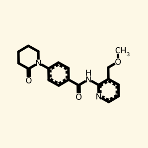 COCc1cccnc1NC(=O)c1ccc(N2CCCCC2=O)cc1